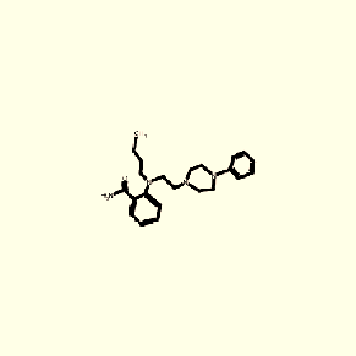 CCCCN(CCN1CCN(c2ccccc2)CC1)c1ccccc1C(N)=O